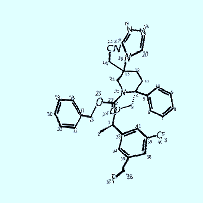 C[C@@H](OC[C@@]1(c2ccccc2)CCC(CC#N)(n2cnnc2)CN1C(=O)OCc1ccccc1)c1cc(CF)cc(C(F)(F)F)c1